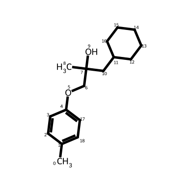 Cc1ccc(OCC(C)(O)CC2CCCCC2)cc1